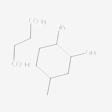 CC1CCC(C(C)C)C(O)C1.O=C(O)CCC(=O)O